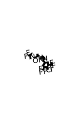 C=C(C(=O)N1CC(F)(F)C1)n1cnc(-c2cc(C(F)(F)F)c(Cl)c(C(F)(F)F)c2)n1